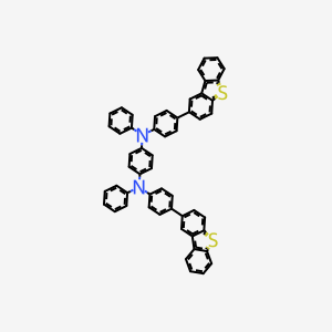 c1ccc(N(c2ccc(-c3ccc4sc5ccccc5c4c3)cc2)c2ccc(N(c3ccccc3)c3ccc(-c4ccc5sc6ccccc6c5c4)cc3)cc2)cc1